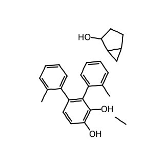 CC.Cc1ccccc1-c1ccc(O)c(O)c1-c1ccccc1C.OC1CCC2CC12